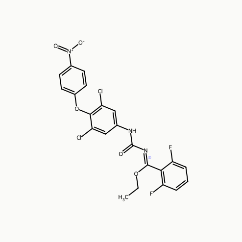 CCO/C(=N\C(=O)Nc1cc(Cl)c(Oc2ccc([N+](=O)[O-])cc2)c(Cl)c1)c1c(F)cccc1F